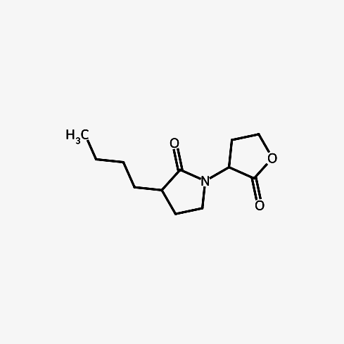 CCCCC1CCN(C2CCOC2=O)C1=O